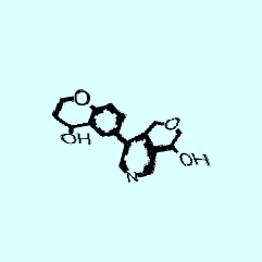 OC1CCOc2ccc(-c3cncc4c3COCC4O)cc21